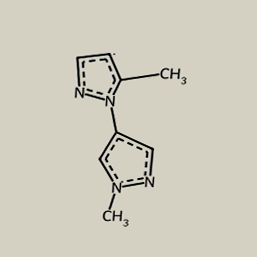 Cc1[c]cnn1-c1cnn(C)c1